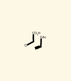 C=COC(C)=O.O=C(O)CCl